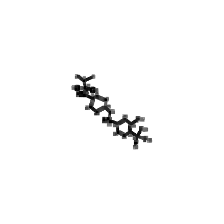 CC(C)S(=O)(=O)Nc1ccc(CNc2ccc(C(F)(F)F)c(F)c2)cc1